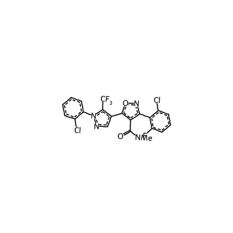 CNC(=O)c1c(-c2c(F)cccc2Cl)noc1-c1cnn(-c2ccccc2Cl)c1C(F)(F)F